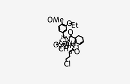 CCOc1cc([C@@H](CS(C)(=O)=O)N(C)C(=O)C2=C(NC(=O)CCCCl)C=CCC2)ccc1OC